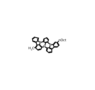 CCCCCCCCc1ccc2c(c1)B1c3cccc4c3N(c3cccc-2c31)c1ccc(C)c2c1B4c1ccccc1-2